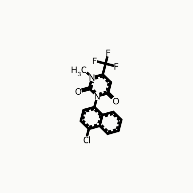 Cn1c(C(F)(F)F)cc(=O)n(-c2ccc(Cl)c3ccccc23)c1=O